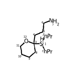 CCC[SiH](CCC)C1(CCCN)CCCCO1